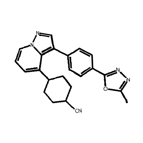 Cc1nnc(-c2ccc(-c3cnn4cccc(C5CCC(C#N)CC5)c34)cc2)o1